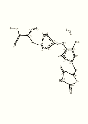 COC(=O)[C@@H](N)Cc1ccc(Oc2ccc(CC3SC(=O)NC3=O)cc2F)cc1.Cl